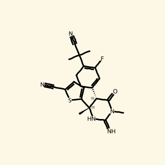 CN1C(=N)N[C@](C)(c2ccc(C#N)s2)[C@H](C2=CC(F)=C(C(C)(C)C#N)CC2)C1=O